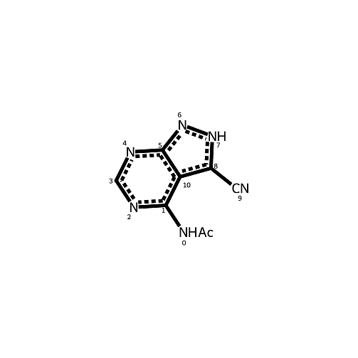 CC(=O)Nc1ncnc2n[nH]c(C#N)c12